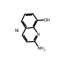 Nc1ccc2cccc(O)c2n1.[Ni]